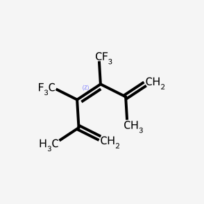 C=C(C)/C(=C(\C(=C)C)C(F)(F)F)C(F)(F)F